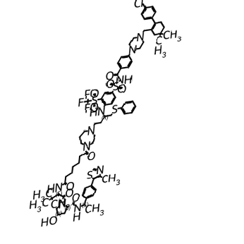 Cc1ncsc1-c1ccc([C@H](C)NC(=O)[C@@H]2C[C@@H](O)CN2C(=O)[C@@H](NC(=O)CCCCCC(=O)N2CCCN(CC[C@H](CSc3ccccc3)Nc3ccc(S(=O)(=O)NC(=O)c4ccc(N5CCN(CC6=C(c7ccc(Cl)cc7)CCC(C)(C)C6)CC5)cc4)cc3S(=O)(=O)C(F)(F)F)CC2)C(C)(C)C)cc1